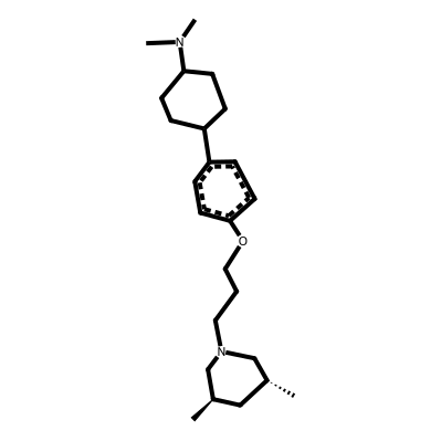 C[C@@H]1C[C@@H](C)CN(CCCOc2ccc(C3CCC(N(C)C)CC3)cc2)C1